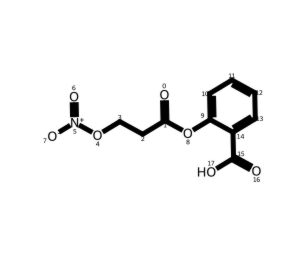 O=C(CCO[N+](=O)[O-])Oc1ccccc1C(=O)O